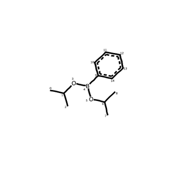 CC(C)OB(OC(C)C)c1ccccc1